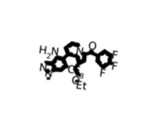 CCOC=Cc1cc(C(=O)c2cc(F)c(F)c(F)c2)n2cccc(-c3c(C(F)(F)F)cc4c(cnn4C)c3N)c12